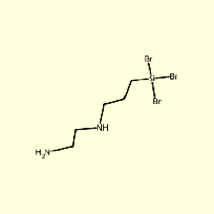 NCCNCCC[Si](Br)(Br)Br